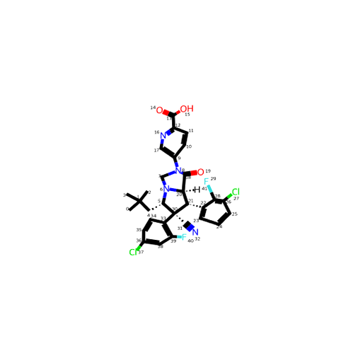 CC(C)(C)C[C@@H]1N2CN(c3ccc(C(=O)O)nc3)C(=O)[C@H]2[C@H](c2cccc(Cl)c2F)[C@@]1(C#N)c1ccc(Cl)cc1F